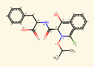 CC(C)ON1C(Cl)=c2ccccc2=C(O)[C@@H]1C(=O)NC(Cc1ccccc1)C(=O)O